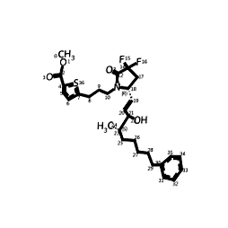 COC(=O)c1ccc(CCCN2C(=O)C(F)(F)C[C@@H]2C=CC(O)[C@@H](C)CCCCCc2ccccc2)s1